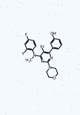 CCc1c(-c2cccc(O)c2)nc(N2CCOCC2)nc1N(C)c1ccc(F)cc1F